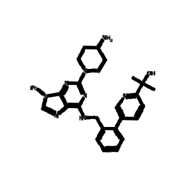 CC(C)n1cnc2c(NCc3ccccc3-c3ccc(C(C)(C)O)nc3)nc(N3CCC(N)CC3)nc21